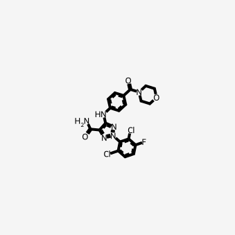 NC(=O)c1nn(-c2c(Cl)ccc(F)c2Cl)nc1Nc1ccc(C(=O)N2CCOCC2)cc1